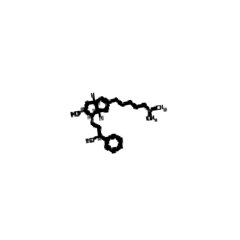 CN(C)CCCCCC1=C[C@H]2C[C@@H](O)[C@H](CC[C@H](O)c3ccccc3)[C@H]2C1